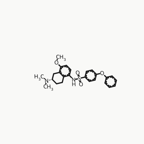 COc1ccc(NS(=O)(=O)c2ccc(Oc3ccccc3)cc2)c2c1C[C@@H](N(C)C)CC2